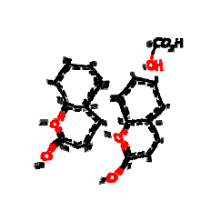 O=C(O)O.O=c1ccc2ccccc2o1.O=c1ccc2ccccc2o1